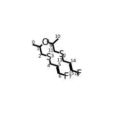 CC(CSCC=CF)OC(C)CSCC=CF